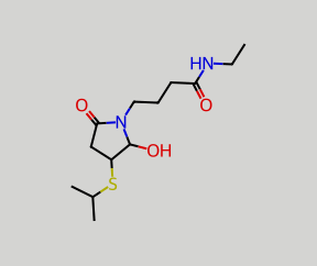 CCNC(=O)CCCN1C(=O)CC(SC(C)C)C1O